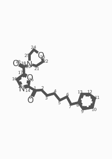 O=C(CCCCCCc1ccccc1)c1ncc(C(=O)N2CCOCC2)o1